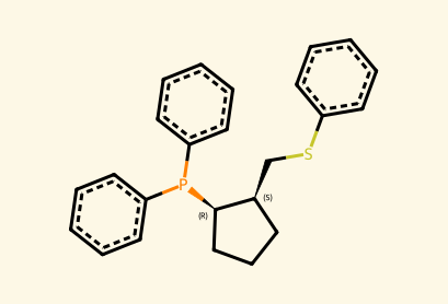 c1ccc(SC[C@H]2CCC[C@H]2P(c2ccccc2)c2ccccc2)cc1